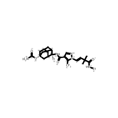 CCNC(=O)C(C)(C)/C=C/n1ncc(C(=O)N[C@H]2C3CC4CC2C[C@](OC(N)=O)(C4)C3)c1C(F)(F)F